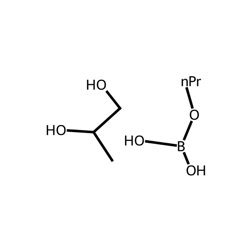 CC(O)CO.CCCOB(O)O